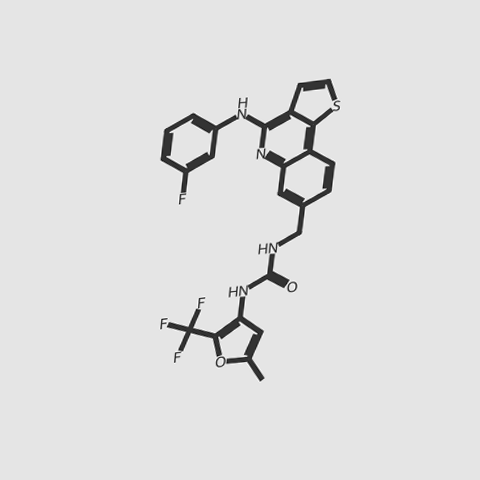 Cc1cc(NC(=O)NCc2ccc3c(c2)nc(Nc2cccc(F)c2)c2ccsc23)c(C(F)(F)F)o1